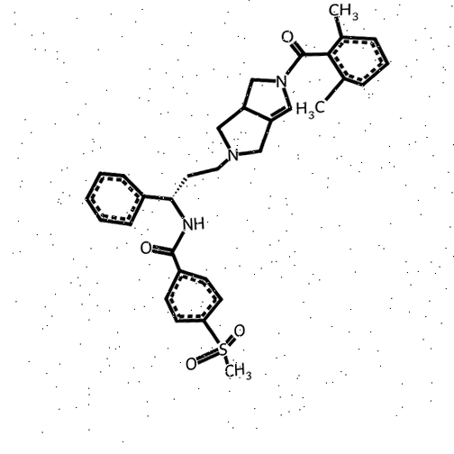 Cc1cccc(C)c1C(=O)N1C=C2CN(CC[C@H](NC(=O)c3ccc(S(C)(=O)=O)cc3)c3ccccc3)CC2C1